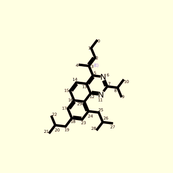 CC/C=C(\C)c1nc(C(C)C)nc2c1ccc1cc(CC(C)C)cc(CC(C)C)c12